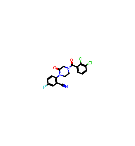 N#Cc1cc(F)ccc1N1CCN(C(=O)c2cccc(Cl)c2Cl)CC1=O